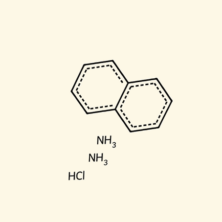 Cl.N.N.c1ccc2ccccc2c1